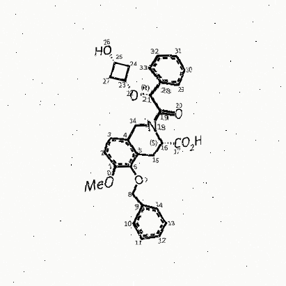 COc1ccc2c(c1OCc1ccccc1)C[C@@H](C(=O)O)N(C(=O)[C@H](O[C@H]1C[C@@H](O)C1)c1ccccc1)C2